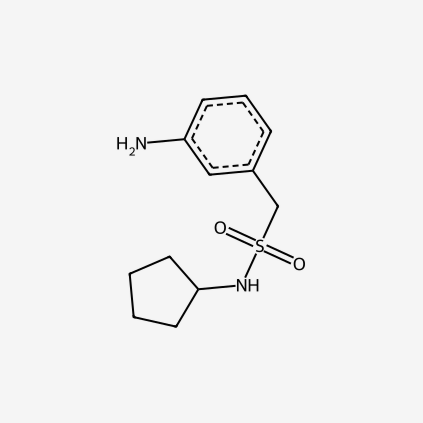 Nc1cccc(CS(=O)(=O)NC2CCCC2)c1